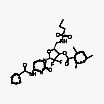 CCCS(=O)(=O)NC[C@H]1O[C@@H](n2ccc(NC(=O)c3ccccc3)nc2=O)C(F)(F)[C@@H]1OC(=O)c1c(C)cc(C)cc1C